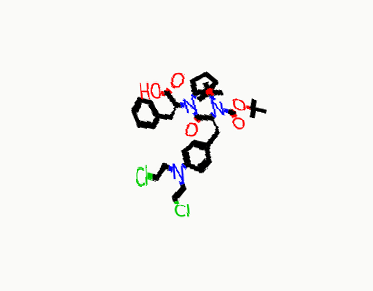 CC(C)(C)OC(=O)N([C@@H](Cc1ccc(N(CCCl)CCCl)cc1)C(=O)N(C1CCCC1)[C@@H](Cc1ccccc1)C(=O)O)C(C)(C)C